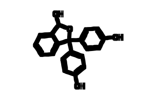 Oc1ccc(C2(c3ccc(O)cc3)OC(O)c3ccccc32)cc1